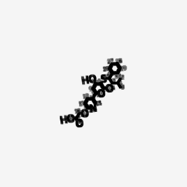 CC(C)CC(Sc1c(O)cc(-c2ccc(OCC(=O)O)nc2)oc1=O)c1ccccc1